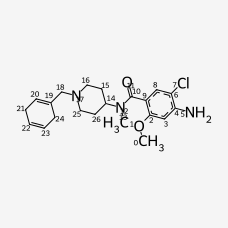 COc1cc(N)c(Cl)cc1C(=O)N(C)C1CCN(CC2=CCC=CC2)CC1